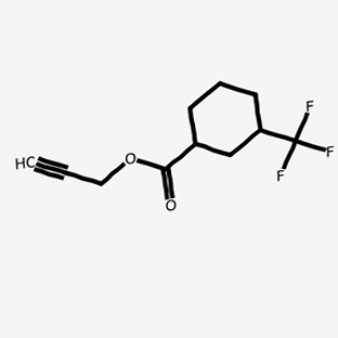 C#CCOC(=O)C1CCCC(C(F)(F)F)C1